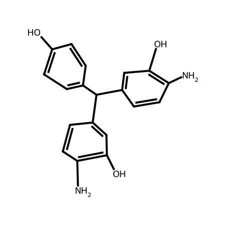 Nc1ccc(C(c2ccc(O)cc2)c2ccc(N)c(O)c2)cc1O